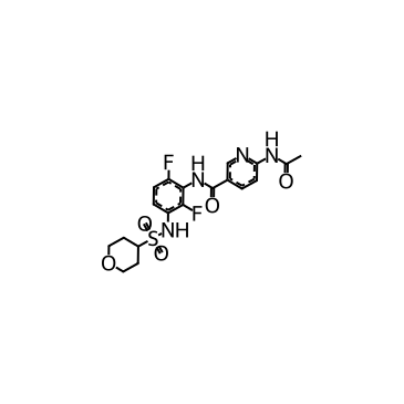 CC(=O)Nc1ccc(C(=O)Nc2c(F)ccc(NS(=O)(=O)C3CCOCC3)c2F)cn1